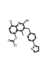 CCC(=O)Oc1ccc(Cl)c2nc(C(C)C)c(Cc3ccc(-n4cccn4)cc3)c(C)c12